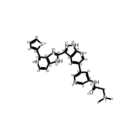 CN(C)CC(=O)Nc1cncc(-c2cnc3[nH]nc(-c4nc5c(-c6cccs6)nccc5[nH]4)c3c2)c1